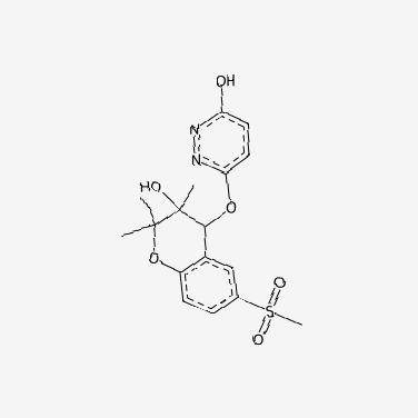 CC1(C)Oc2ccc(S(C)(=O)=O)cc2C(Oc2ccc(O)nn2)C1(C)O